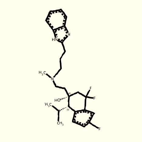 CC(C)[C@H]1c2ccc(F)cc2C(F)(F)C[C@]1(O)CCN(C)CCCc1nc2ccccc2[nH]1